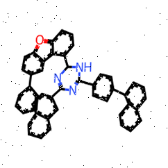 c1ccc(-c2ccc3oc4cccc(C5N=C(c6ccc7ccccc7c6)N=C(c6ccc(-c7cccc8ccccc78)cc6)N5)c4c3c2)cc1